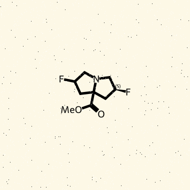 COC(=O)C12CC(F)CN1C[C@@H](F)C2